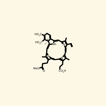 C=CC1=C(C)c2cc3[nH]c(cc4nc(cc5[nH]c(cc1n2)c(C)c5CCC(=O)O)C(CCC(=O)OC)=C4C)[C@]1(C)C3=CCC(C(=O)O)=C1C(=O)O